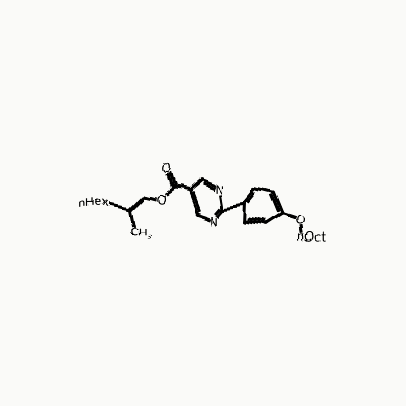 CCCCCCCCOc1ccc(-c2ncc(C(=O)OCC(C)CCCCCC)cn2)cc1